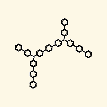 c1ccc(-c2ccc(-c3ccc(N(c4ccc(-c5ccccc5)cc4)c4ccc(-c5ccc(-c6ccc(N(c7ccc(-c8ccccc8)cc7)c7ccc(-c8ccc(-c9ccccc9)cc8)cc7)cc6)cc5)cc4)cc3)cc2)cc1